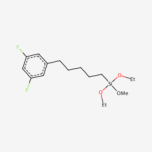 CCO[Si](CCCCCc1cc(F)cc(F)c1)(OC)OCC